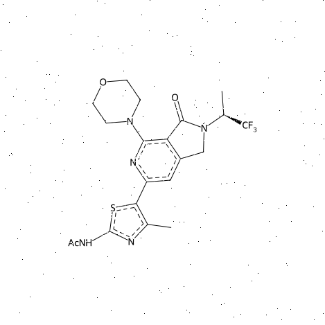 CC(=O)Nc1nc(C)c(-c2cc3c(c(N4CCOCC4)n2)C(=O)N([C@@H](C)C(F)(F)F)C3)s1